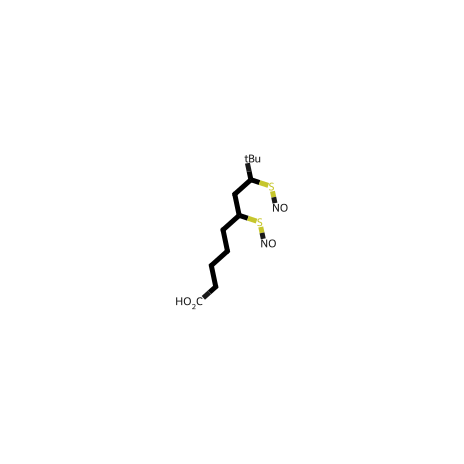 CC(C)(C)C(CC(CCCCC(=O)O)SN=O)SN=O